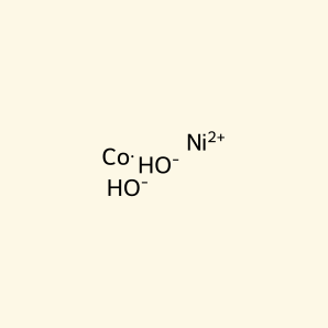 [Co].[Ni+2].[OH-].[OH-]